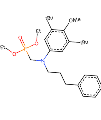 CCOP(=O)(CN(CCCc1ccccc1)c1cc(C(C)(C)C)c(OC)c(C(C)(C)C)c1)OCC